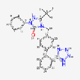 CC(C)(C)c1nn(-c2ccccc2)c(=O)n1Cc1ccc(-c2ccccc2-c2nnn[nH]2)cc1